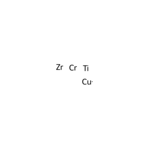 [Cr].[Cu].[Ti].[Zr]